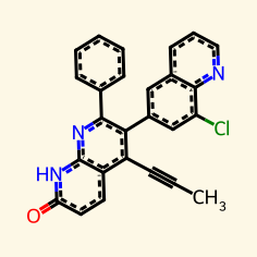 CC#Cc1c(-c2cc(Cl)c3ncccc3c2)c(-c2ccccc2)nc2[nH]c(=O)ccc12